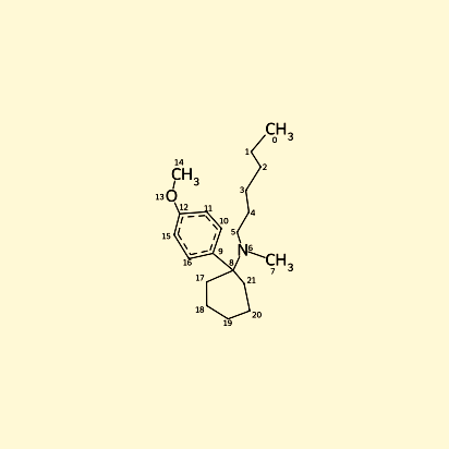 CCCCCCN(C)C1(c2ccc(OC)cc2)CCCCC1